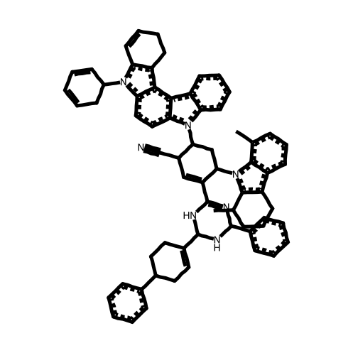 Cc1cccc2c3c(n(C4CC(n5c6ccccc6c6c7c8c(n(C9C=CC=CC9)c7ccc65)C=CCC8)C(C#N)C=C4C4=NC(c5ccccc5)NC(C5=CCC(c6ccccc6)CC5)N4)c12)C(C)CCC3